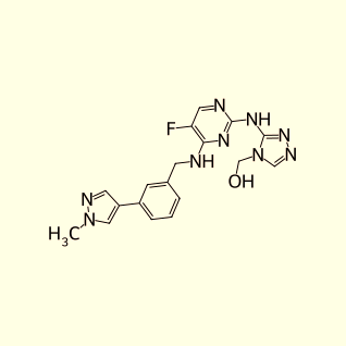 Cn1cc(-c2cccc(CNc3nc(Nc4nncn4CO)ncc3F)c2)cn1